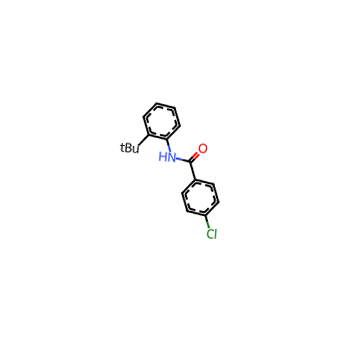 CC(C)(C)c1ccccc1NC(=O)c1ccc(Cl)cc1